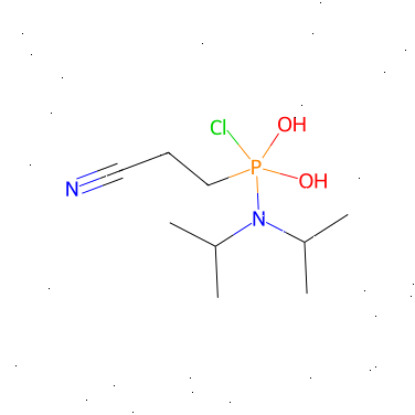 CC(C)N(C(C)C)P(O)(O)(Cl)CCC#N